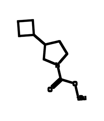 CC(C)(C)OC(=O)N1CCC(C2CCC2)C1